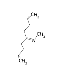 C=CCCC(CCC=C)=NC